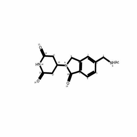 CC(=O)NCc1ccc2c(c1)CN(C1CC(=O)NC(=O)C1)C2=O